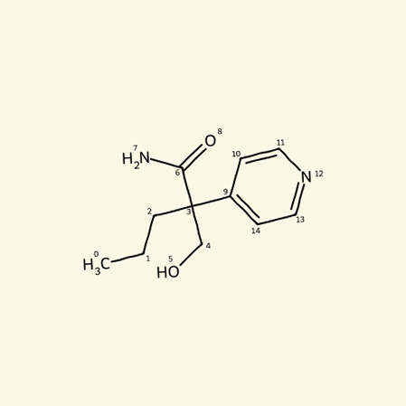 CCCC(CO)(C(N)=O)c1ccncc1